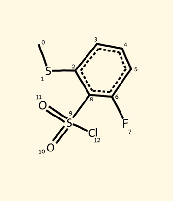 CSc1cccc(F)c1S(=O)(=O)Cl